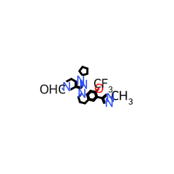 Cn1cc(-c2cc3c(cc2OC(F)(F)F)N(c2nn(C4CCCC4)c4c2CN(C=O)CC4)CCC3)cn1